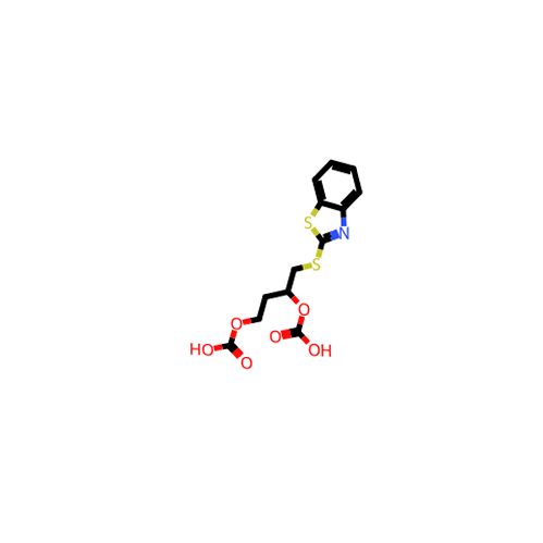 O=C(O)OCCC(CSc1nc2ccccc2s1)OC(=O)O